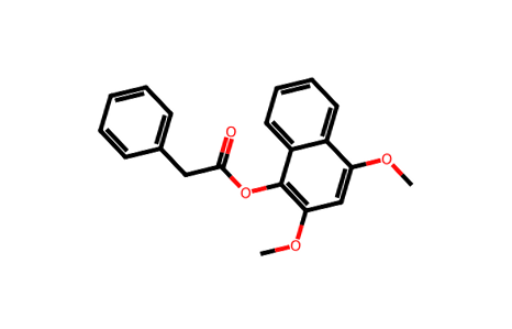 COc1cc(OC)c2ccccc2c1OC(=O)Cc1ccccc1